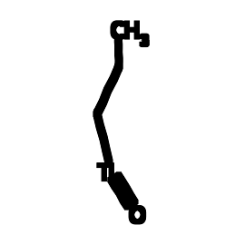 CC[CH2][Ti]=[O]